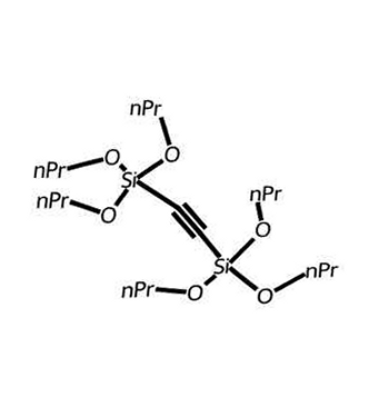 CCCO[Si](C#C[Si](OCCC)(OCCC)OCCC)(OCCC)OCCC